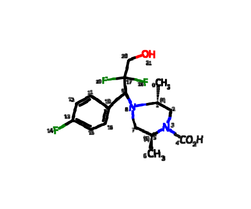 C[C@@H]1CN(C(=O)O)[C@@H](C)CN1C(c1ccc(F)cc1)C(F)(F)CO